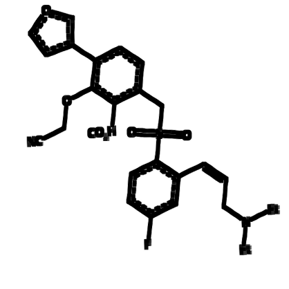 CCN(CC)C/C=C\c1cc(F)ccc1S(=O)(=O)Cc1ccc(-c2ccoc2)c(OCC#N)c1C(=O)O